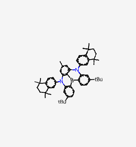 Cc1cc2c3c(c1)N(c1ccc4c(c1)C(C)(C)CCC4(C)C)c1cc(C(C)(C)C)ccc1B3c1ccc(C(C)(C)C)cc1N2c1ccc2c(c1)C(C)(C)CCC2(C)C